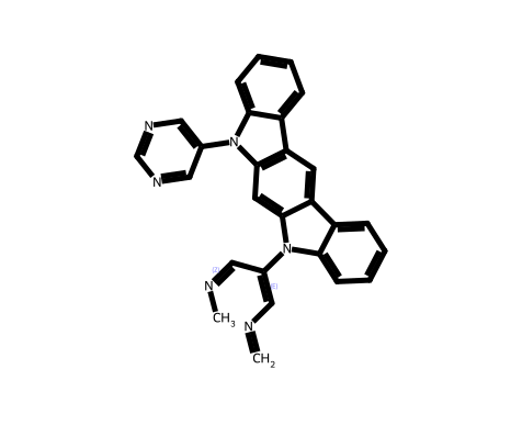 C=N/C=C(\C=N/C)n1c2ccccc2c2cc3c4ccccc4n(-c4cncnc4)c3cc21